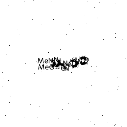 CNc1ncc(-c2nc(N3CCC(N4CCOCC4)CC3)no2)cc1OC